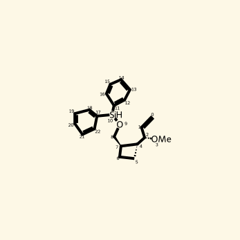 C=C[C@H](OC)[C@@H]1CC[C@H]1CO[SiH](c1ccccc1)c1ccccc1